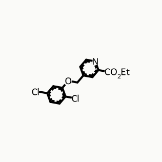 CCOC(=O)c1cc(COc2cc(Cl)ccc2Cl)ccn1